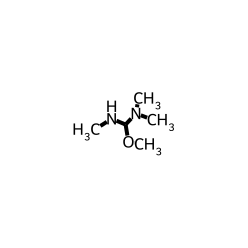 CNC(OC)N(C)C